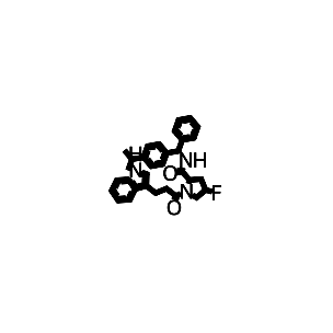 CC(C)c1ccc(C(NC(=O)C2CC(F)CN2C(=O)CCc2c[nH]c3ccccc23)c2ccccc2)cc1